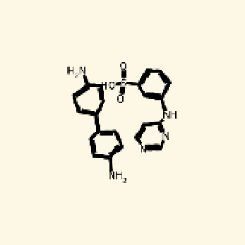 Nc1ccc(-c2ccc(N)cc2)cc1.O=S(=O)(O)c1cccc(Nc2ccncn2)c1